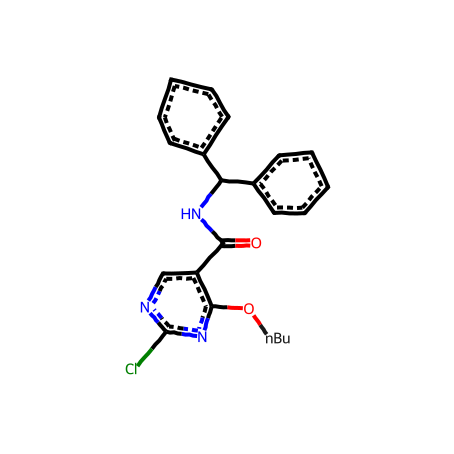 CCCCOc1nc(Cl)ncc1C(=O)NC(c1ccccc1)c1ccccc1